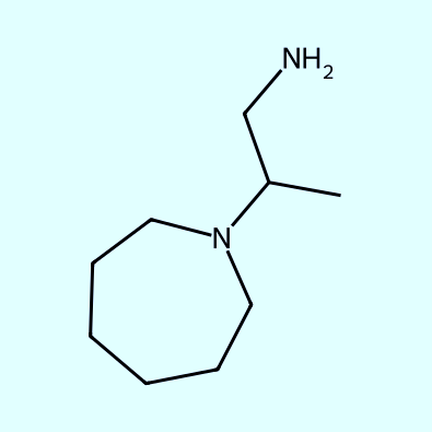 CC(CN)N1CCCCCC1